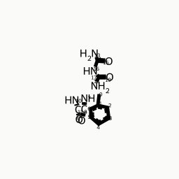 Cc1ccccc1.N=C=O.N=C=O.NC(=O)NC(N)=O